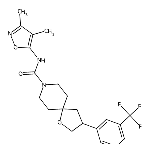 Cc1noc(NC(=O)N2CCC3(CC2)CC(c2cccc(C(F)(F)F)c2)CO3)c1C